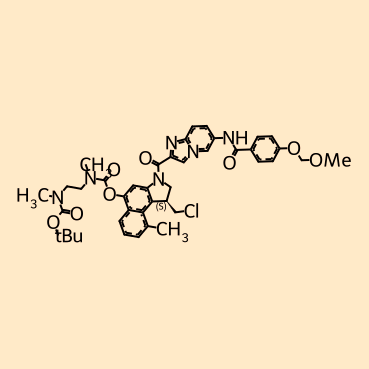 COCOc1ccc(C(=O)Nc2ccc3nc(C(=O)N4C[C@@H](CCl)c5c4cc(OC(=O)N(C)CCN(C)C(=O)OC(C)(C)C)c4cccc(C)c54)cn3c2)cc1